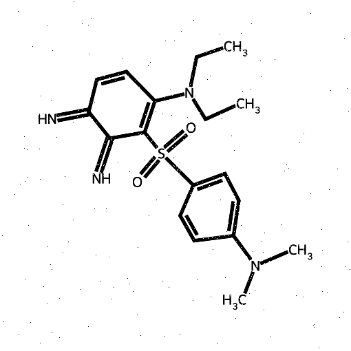 CCN(CC)C1=C(S(=O)(=O)c2ccc(N(C)C)cc2)C(=N)C(=N)C=C1